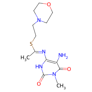 C/C(=N\c1[nH]c(=O)n(C)c(=O)c1N)SCCN1CCOCC1